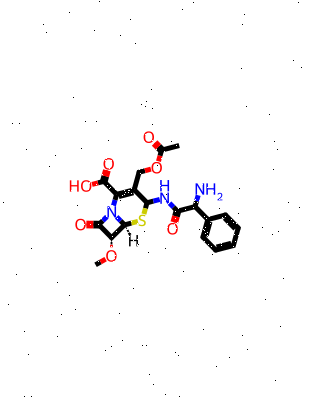 CO[C@@H]1C(=O)N2C(C(=O)O)=C(COC(C)=O)C(NC(=O)C(N)c3ccccc3)S[C@@H]12